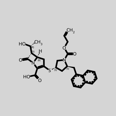 C=CCOC(=O)N1C[C@@H](SC2=C(C(=O)O)N3C(=O)[C@H]([C@@H](C)O)[C@H]3C2)C[C@@H]1Cc1cccc2ccccc12